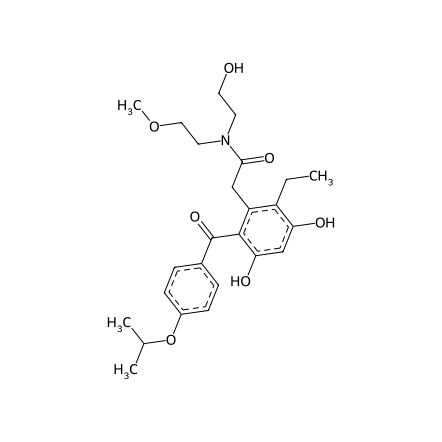 CCc1c(O)cc(O)c(C(=O)c2ccc(OC(C)C)cc2)c1CC(=O)N(CCO)CCOC